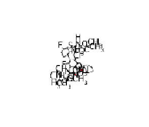 CC1CCCC(C)N1C[C@H](C)Oc1nc(N2CC3CCC(C2)N3C(=O)OC(C)(C)C)c2cc(Cl)c(-c3ccc(F)c4sc(NC(=O)OC(C)(C)C)nc34)c(F)c2n1